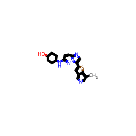 Cc1cncc2cc(-c3cnc4ccc(NC5CCC(O)CC5)nn34)sc12